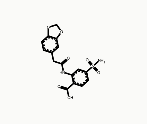 NS(=O)(=O)c1ccc(C(=O)O)c(NC(=O)Cc2ccc3c(c2)OCO3)c1